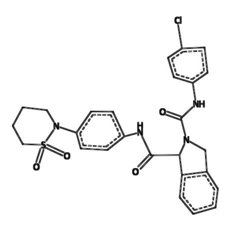 O=C(Nc1ccc(N2CCCCS2(=O)=O)cc1)C1c2ccccc2CN1C(=O)Nc1ccc(Cl)cc1